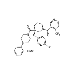 COc1ccccc1N1CCN(C(=O)C2(Oc3ccc(Br)cc3)CCCN(C(=O)c3cnccc3C(F)(F)F)C2)CC1